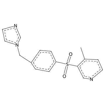 Cc1ccncc1S(=O)(=O)c1ccc(Cn2ccnc2)cc1